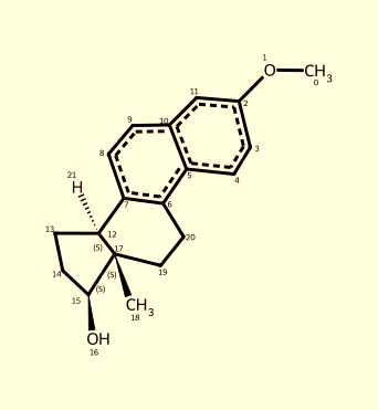 COc1ccc2c3c(ccc2c1)[C@@H]1CC[C@H](O)[C@@]1(C)CC3